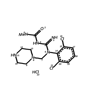 CNC(=O)NC(=N)N(CN1CCNCC1)c1c(Cl)cccc1Cl.Cl